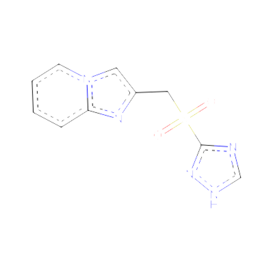 O=S(=O)(Cc1cn2ccccc2n1)c1nc[nH]n1